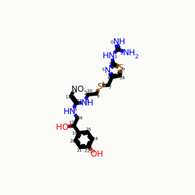 N=C(N)Nc1nc(CSCCNC(=C[N+](=O)[O-])NCC(O)c2ccc(O)cc2)cs1